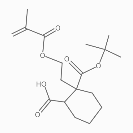 C=C(C)C(=O)OCCC1(C(=O)OC(C)(C)C)CCCCC1C(=O)O